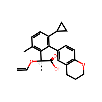 C=CO[C@](C)(C(=O)O)c1c(C)ccc(C2CC2)c1-c1ccc2c(c1)CCCO2